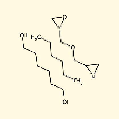 C(OCC1CO1)C1CO1.CCCCCC.OCCCCCCO